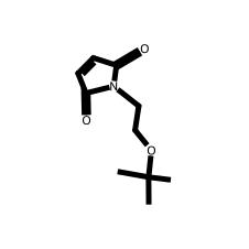 CC(C)(C)OCCN1C(=O)C=CC1=O